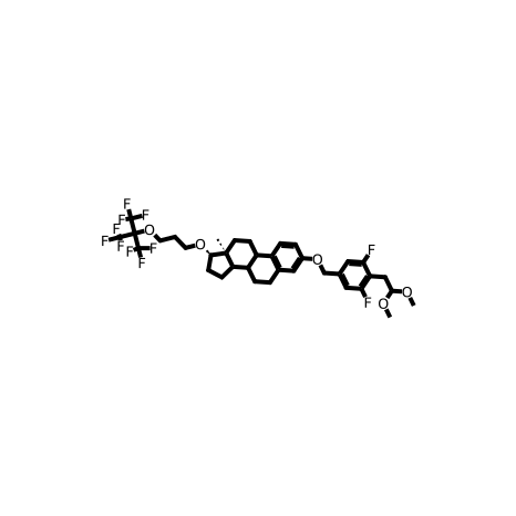 COC(Cc1c(F)cc(COc2ccc3c(c2)CCC2C3CC[C@@]3(C)C2CC[C@@H]3OCCCOC(C(F)(F)F)(C(F)(F)F)C(F)(F)F)cc1F)OC